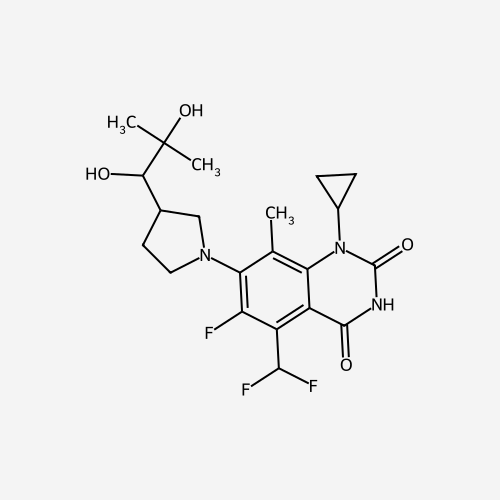 Cc1c(N2CCC(C(O)C(C)(C)O)C2)c(F)c(C(F)F)c2c(=O)[nH]c(=O)n(C3CC3)c12